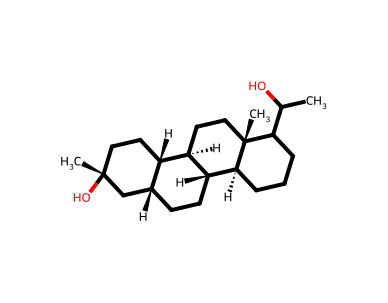 CC(O)C1CCC[C@H]2[C@@H]3CC[C@@H]4C[C@](C)(O)CC[C@@H]4[C@H]3CC[C@]12C